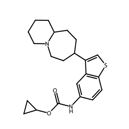 O=C(Nc1ccc2scc(C3CCC4CCCCN4CC3)c2c1)OC1CC1